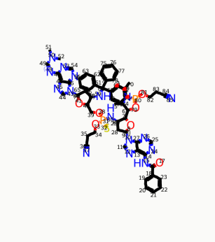 CC(C)N1C(C)C(C2O[C@@H](n3cnc4c(NC(=O)c5ccccc5)ncnc43)C[C@H]2NP(=S)(OCCC#N)OCC2O[C@@H](n3cnc4c(/N=C\N(C)C)ncnc43)C[C@H]2NC(c2ccccc2)(c2ccccc2)c2ccccc2)OP1OCCC#N